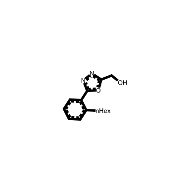 CCCCCCc1ccccc1-c1nnc(CO)o1